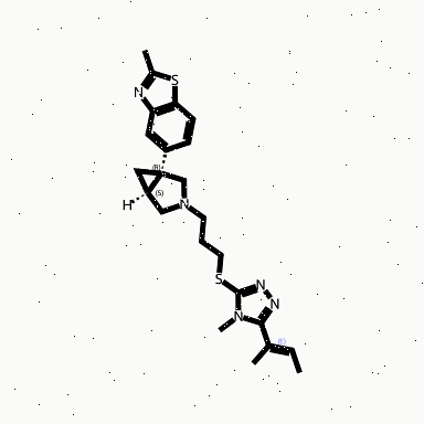 C/C=C(\C)c1nnc(SCCCN2C[C@H]3C[C@@]3(c3ccc4sc(C)nc4c3)C2)n1C